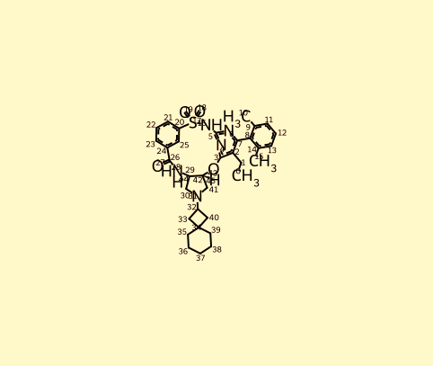 CCc1c2nc(nc1-c1c(C)cccc1C)NS(=O)(=O)c1cccc(c1)C(=O)N[C@@H]1CN(C3CC4(CCCCC4)C3)C[C@H]1O2